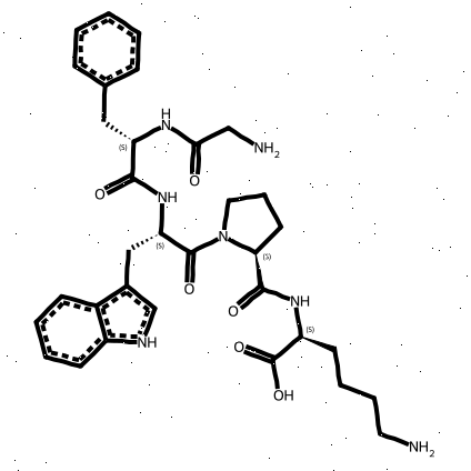 NCCCC[C@H](NC(=O)[C@@H]1CCCN1C(=O)[C@H](Cc1c[nH]c2ccccc12)NC(=O)[C@H](Cc1ccccc1)NC(=O)CN)C(=O)O